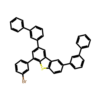 Brc1cccc(-c2cc(-c3cccc(-c4ccccc4)c3)cc3c2sc2ccc(-c4cccc(-c5ccccc5)c4)cc23)c1